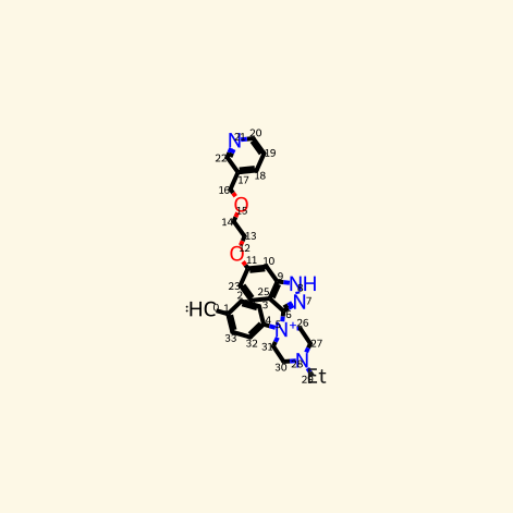 [CH]c1ccc([N+]2(c3n[nH]c4cc(OCCOCc5cccnc5)ccc34)CCN(CC)CC2)cc1